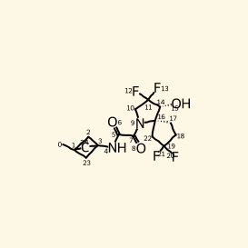 CC12CC(NC(=O)C(=O)N3CC(F)(F)[C@H](O)[C@]34CCC(F)(F)C4)(C1)C2